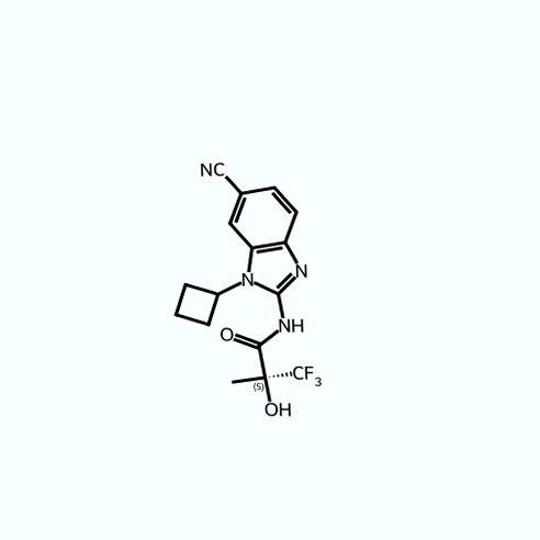 C[C@](O)(C(=O)Nc1nc2ccc(C#N)cc2n1C1CCC1)C(F)(F)F